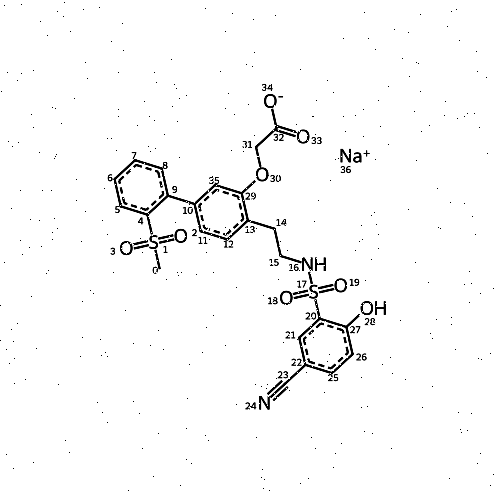 CS(=O)(=O)c1ccccc1-c1ccc(CCNS(=O)(=O)c2cc(C#N)ccc2O)c(OCC(=O)[O-])c1.[Na+]